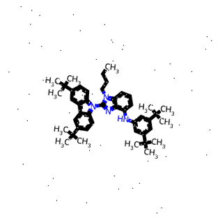 CCCCn1c(-n2c3ccc(C(C)(C)C)cc3c3cc(C(C)(C)C)ccc32)nc2c(Nc3cc(C(C)(C)C)cc(C(C)(C)C)c3)cccc21